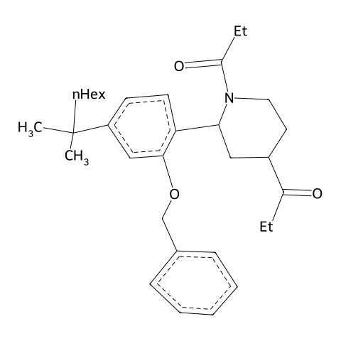 CCCCCCC(C)(C)c1ccc(C2CC(C(=O)CC)CCN2C(=O)CC)c(OCc2ccccc2)c1